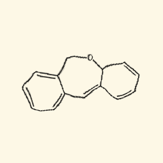 C1=CC2=Cc3ccccc3COC2C=C1